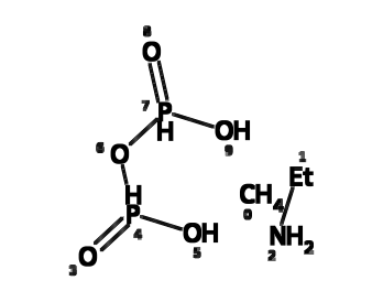 C.CCN.O=[PH](O)O[PH](=O)O